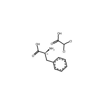 N[C@@H](Cc1ccccc1)C(=O)O.O=C(O)C(Cl)Cl